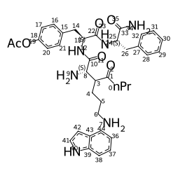 CCCC(=O)C(CCCN)[C@H](N)C(=O)N[C@@H](Cc1ccc(OC(C)=O)cc1)C(=O)N[C@@H](Cc1ccccc1)C(N)=O.c1ccc2[nH]ccc2c1